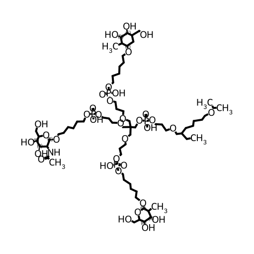 CCC(CCCCCOC(C)C)COCCCOP(=O)(O)OCC(COCCCOP(=O)(O)OCCCCCCO[C@@H]1OC(CO)[C@H](O)[C@H](O)C1C)(COCCCOP(=O)(O)OCCCCCCO[C@@H]1OC(CO)[C@H](O)[C@H](O)C1NC(C)=O)COCCCOP(=O)(O)OCCCCCCO[C@@H]1CC(CO)[C@H](O)[C@H](O)C1C